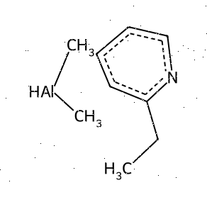 CCc1ccccn1.[CH3][AlH][CH3]